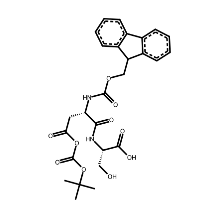 CC(C)(C)OC(=O)OC(=O)C[C@H](NC(=O)OCC1c2ccccc2-c2ccccc21)C(=O)N[C@@H](CO)C(=O)O